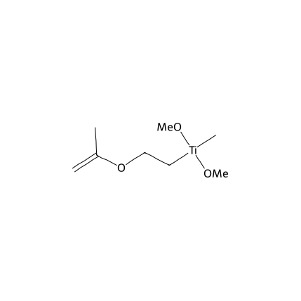 C=C(C)OC[CH2][Ti]([CH3])([O]C)[O]C